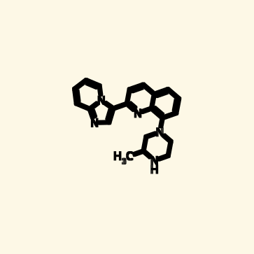 CC1CN(c2cccc3ccc(-c4cnc5ccccn45)nc23)CCN1